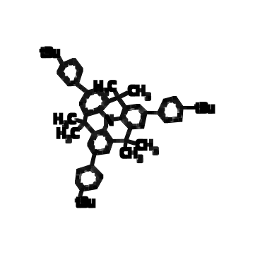 CC(C)(C)c1ccc(-c2cc3c4c(c2)C(C)(C)c2cc(-c5ccc(C(C)(C)C)cc5)cc5c2N4c2c(cc(-c4ccc(C(C)(C)C)cc4)cc2C5(C)C)C3(C)C)cc1